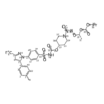 Cc1ccc(-c2cc(C(F)(F)F)nn2-c2ccc(S(=O)(=O)NC(=O)OC3CCN(/[N+]([O-])=N\OC(C)OC(=O)OC(C)C)CC3)cc2)cc1